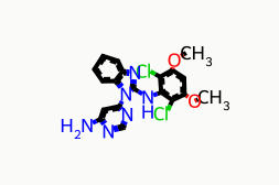 COc1cc(OC)c(Cl)c(Nc2nc3ccccc3n2-c2cc(N)ncn2)c1Cl